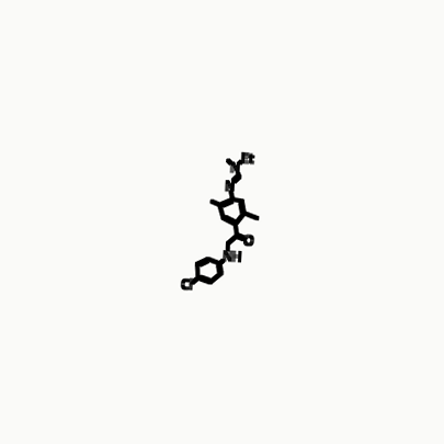 CCN(C)C=Nc1cc(C)c(C(=O)CNc2ccc(Cl)cc2)cc1C